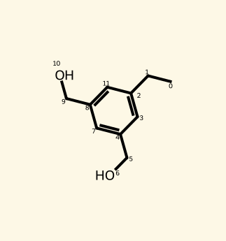 CCc1cc(CO)cc(CO)c1